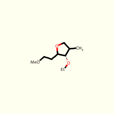 CCO[C@H]1C(C)COC1CCOC